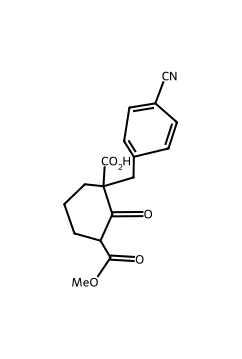 COC(=O)C1CCCC(Cc2ccc(C#N)cc2)(C(=O)O)C1=O